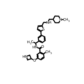 Cc1ccc(OC2CNC2)cc1C(=O)NC(C)c1cccc(-c2ccc(CNCC3CCN(C)CC3)s2)c1